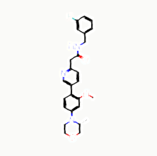 COc1cc(N2CCOC[C@@H]2C)ccc1-c1ccc(CC(=O)NCc2cccc(F)c2)nc1